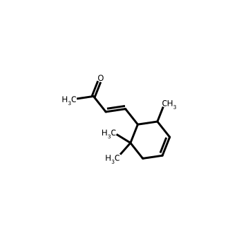 CC(=O)C=CC1C(C)C=CCC1(C)C